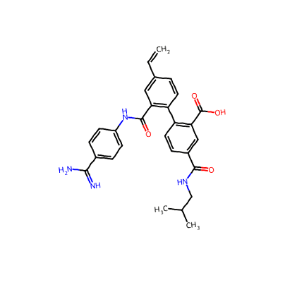 C=Cc1ccc(-c2ccc(C(=O)NCC(C)C)cc2C(=O)O)c(C(=O)Nc2ccc(C(=N)N)cc2)c1